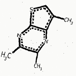 Cc1nc2scc(C)c2nc1C